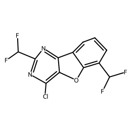 FC(F)c1nc(Cl)c2oc3c(C(F)F)cccc3c2n1